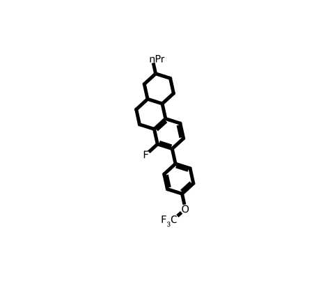 CCCC1CCC2c3ccc(-c4ccc(OC(F)(F)F)cc4)c(F)c3CCC2C1